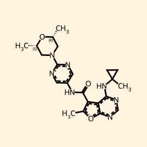 Cc1oc2ncnc(NC3(C)CC3)c2c1C(=O)Nc1cnc(N2C[C@@H](C)O[C@@H](C)C2)nc1